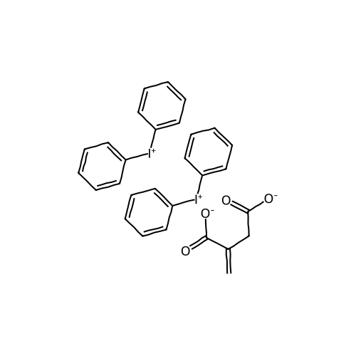 C=C(CC(=O)[O-])C(=O)[O-].c1ccc([I+]c2ccccc2)cc1.c1ccc([I+]c2ccccc2)cc1